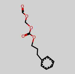 O=COCOC(=O)OCCCc1ccccc1